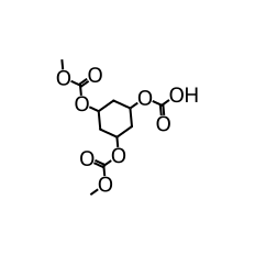 COC(=O)OC1CC(OC(=O)O)CC(OC(=O)OC)C1